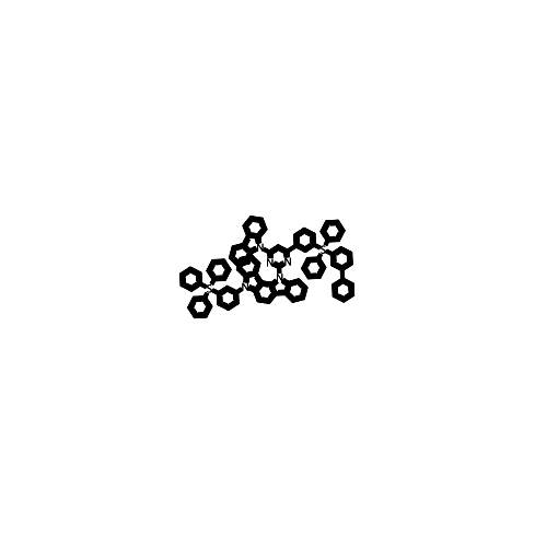 c1ccc(-c2cccc(S(c3ccccc3)(c3ccccc3)c3cccc(-c4cc(-n5c6ccccc6c6ccccc65)nc(-n5c6ccccc6c6ccc7c(c8ccccc8n7-c7cccc(S(c8ccccc8)(c8ccccc8)c8ccccc8)c7)c65)n4)c3)c2)cc1